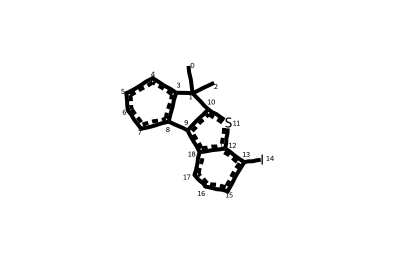 CC1(C)c2ccccc2-c2c1sc1c(I)cccc21